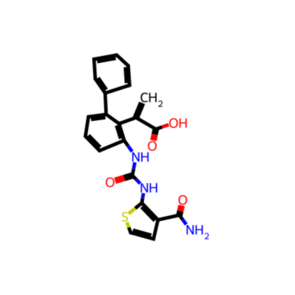 C=C(C(=O)O)c1c(NC(=O)Nc2sccc2C(N)=O)cccc1-c1ccccc1